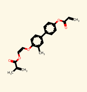 C=CC(=O)Oc1ccc(-c2ccc(O/C=C\OC(=O)C(=C)C)c(C)c2)cc1